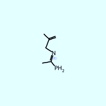 C=C(C)C/N=C(\C)P